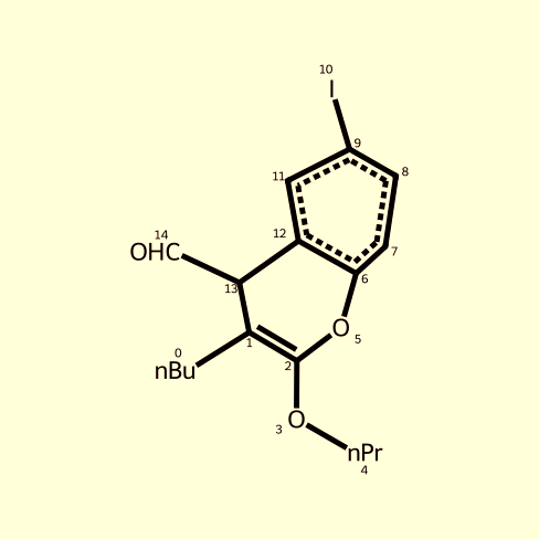 CCCCC1=C(OCCC)Oc2ccc(I)cc2C1C=O